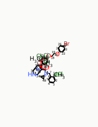 Cc1ccccc1CN(C(=O)C1=C(c2ccc(OCCOc3ccc(Br)cc3)cc2)CC2CNCC1N2C(=O)OC(C)(C)C(Cl)(Cl)Cl)C1CC1.Cl